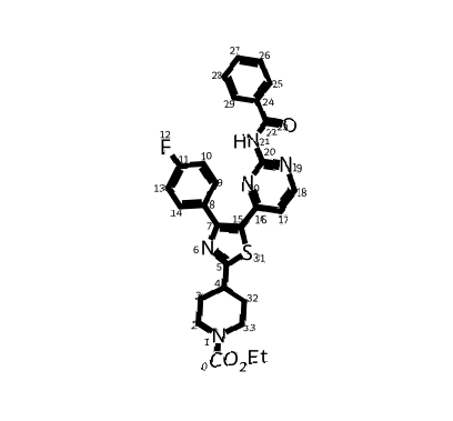 CCOC(=O)N1CCC(c2nc(-c3ccc(F)cc3)c(-c3ccnc(NC(=O)c4ccccc4)n3)s2)CC1